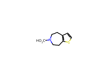 O=C(O)N1CCc2ccsc2CC1